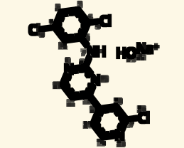 Clc1ccc(Cl)c(Nc2nccc(-c3ccnc(Cl)c3)n2)c1.[Na+].[OH-]